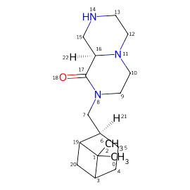 CC1(C)C2CC[C@H](CN3CCN4CCNC[C@@H]4C3=O)C1C2